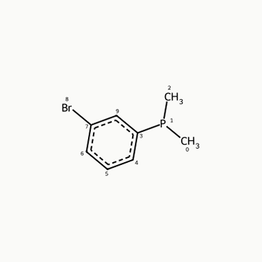 CP(C)c1cccc(Br)c1